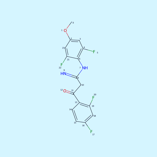 COc1cc(F)c(NC(=N)CC(=O)c2ccc(F)cc2F)c(F)c1